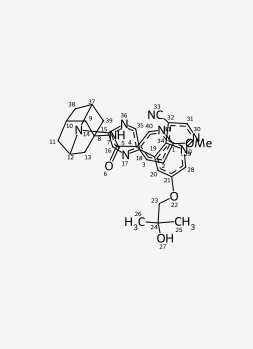 COc1ccc(C(=O)NC23CC4CC(C2)N(c2cnc(-c5cc(OCC(C)(C)O)cn6ncc(C#N)c56)cn2)C(C4)C3)cn1